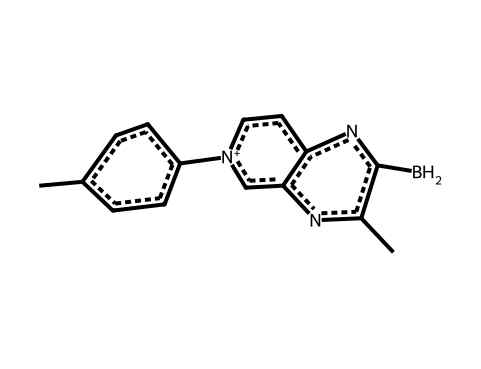 Bc1nc2cc[n+](-c3ccc(C)cc3)cc2nc1C